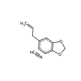 C#N.C=CCc1ccc2c(c1)OCO2